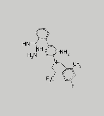 N=C(NN)c1ccccc1-c1ccc(N(CCC(F)(F)F)Cc2ccc(F)cc2C(F)(F)F)c(N)c1